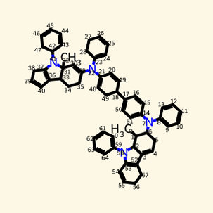 CC1C2C(=CCC1N(c1ccccc1)c1ccc(C3C=CC(N(C4=CC=CCC4)C4=CC5(C)C(CC4)C4=C(CC=C4)N5C4C=CC=CC4)=CC3)cc1)C1=C(C=CCC1)N2c1ccccc1